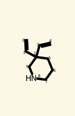 C=CC1(C=C)CCCNC1